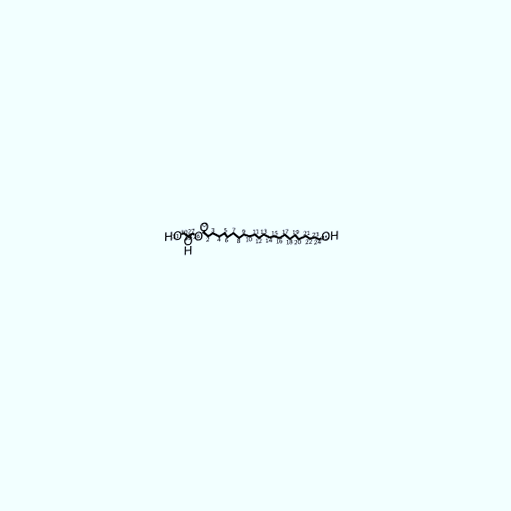 O=C(CCCCCCCCCCCCCCCCCCCCCCCO)OCC(O)CO